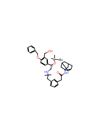 CC(C)(Cc1cccc(CC(=O)NC23CC4CC(CC(C4)C2)C3)c1)NC[C@H](O[Si](C)(C)C(C)(C)C)c1ccc(OCc2ccccc2)c(CO)c1